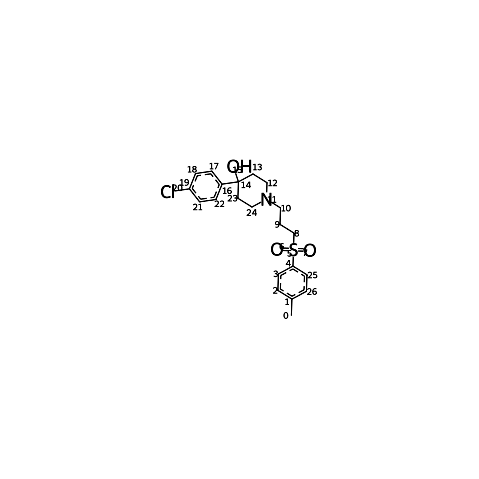 Cc1ccc(S(=O)(=O)CCCN2CCC(O)(c3ccc(Cl)cc3)CC2)cc1